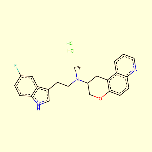 CCCN(CCc1c[nH]c2ccc(F)cc12)C1COc2ccc3ncccc3c2C1.Cl.Cl